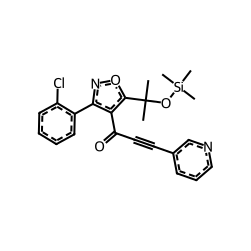 CC(C)(O[Si](C)(C)C)c1onc(-c2ccccc2Cl)c1C(=O)C#Cc1cccnc1